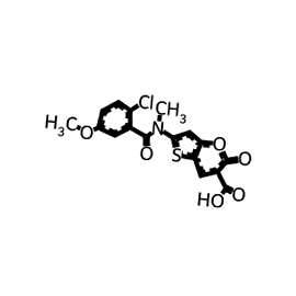 COc1ccc(Cl)c(C(=O)N(C)c2cc3oc(=O)c(C(=O)O)cc3s2)c1